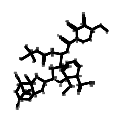 CCN1CCN(C(=O)CC(NC(=O)OC(C)(C)C)C(=O)N[C@H](C[C@@]2(OC)C=CC=CC2C(=O)O)B2OC3C[C@H]4C[C@@H](C4(C)C)[C@]3(C)O2)C(=O)C1=O